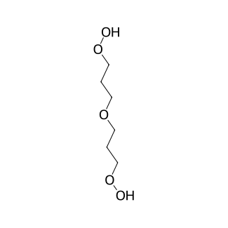 OOCCCOCCCOO